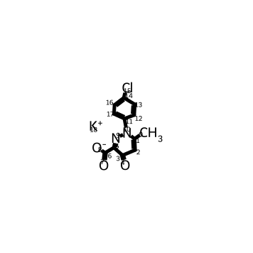 Cc1cc(=O)c(C(=O)[O-])nn1-c1ccc(Cl)cc1.[K+]